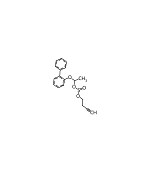 C#CCCOS(=O)OC(C)Oc1ccccc1-c1ccccc1